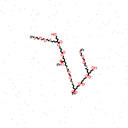 CC(C)OC(=O)C(CCCOC(=O)CCCCOC(=O)C(CCCO)CCCSCCOCCOCCSC(C)C)CCCSCCOCCOCCSCCCC(CCCOC(=O)CCCCOC(=O)C(CCCO)CCCSCCOCCOCCSC(C)C)C(=O)OC(C)C